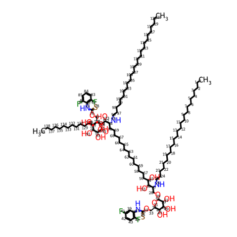 CCCCCCCCCCCCCCCCCCCCCCCCCCNC(CO[C@H]1O[C@H](COC(=S)Nc2cc(F)ccc2F)[C@H](O)[C@H](O)[C@H]1O)C(O)C(O)CCCCCCCCCCCCCCC(O[C@H]1O[C@H](COC(=S)Nc2c(F)cccc2F)[C@H](O)[C@H](O)[C@H]1O)[C@@H](NCCCCCCCCCCCCCCCCCCCCCCCCCC)[C@H](O)[C@H](O)CCCCCCCCCCCCCC